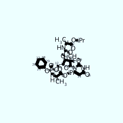 CC(C)OC(=O)[C@H](C)N[PH](=O)O[C@@H]1[C@@H](COP(=O)(N[C@@H](C)C(=O)OC(C)C)Oc2ccccc2)O[C@@H](n2ccc(=O)[nH]c2=O)[C@]1(C)F